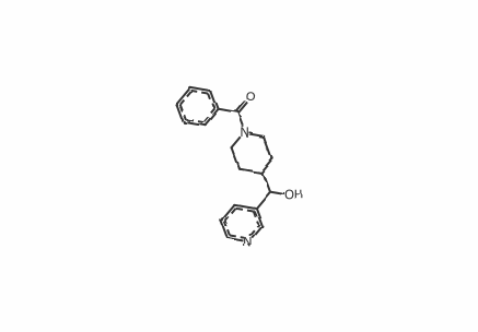 O=C(c1ccccc1)N1CCC(C(O)c2cccnc2)CC1